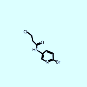 O=C(CCCl)Nc1ccc(Br)nc1